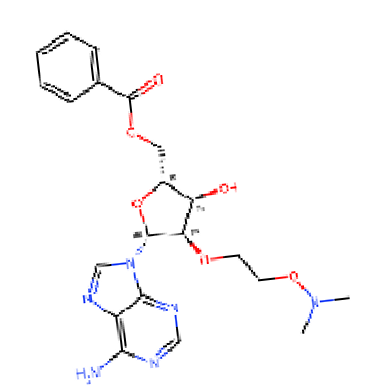 CN(C)OCCO[C@@H]1[C@H](O)[C@@H](COC(=O)c2ccccc2)O[C@H]1n1cnc2c(N)ncnc21